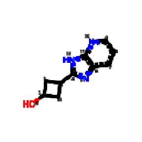 OC1CC(c2nc3cccnc3[nH]2)C1